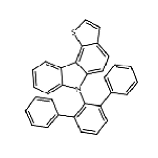 c1ccc(-c2cccc(-c3ccccc3)c2-n2c3ccccc3c3c4sccc4ccc32)cc1